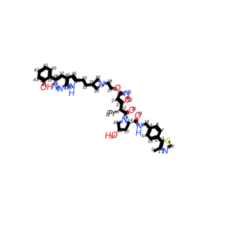 Cc1ncsc1-c1ccc(CNC(=O)[C@@H]2C[C@@H](O)CN2C(=O)[C@@H](c2cc(OCCN3CC(CCc4cc5cc(-c6ccccc6O)nnc5[nH]4)C3)no2)C(C)C)cc1